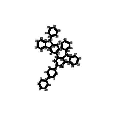 c1ccc(-c2ccc(-c3nc(-c4ccc5c(c4)c4ccccc4n5-c4ccccc4)c4c(n3)c3ccccc3n4-c3ccccc3)cc2)cc1